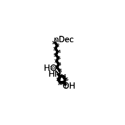 CCCCCCCCCCCCCCCCCCC(O)CNc1ccc(O)cc1